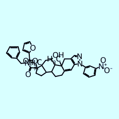 CC12Cc3cnn(-c4cccc([N+](=O)[O-])c4)c3C=C1CCC1C2C(O)CC2(C)C1CC[C@]2(OC(=O)c1ccco1)C(=O)NCc1ccccc1